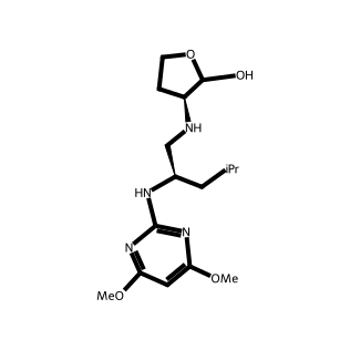 COc1cc(OC)nc(N[C@@H](CN[C@H]2CCOC2O)CC(C)C)n1